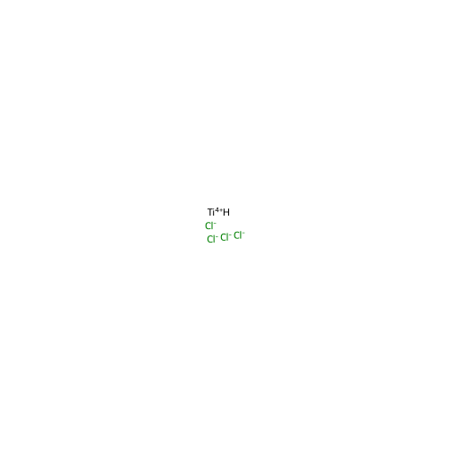 [Cl-].[Cl-].[Cl-].[Cl-].[TiH+4]